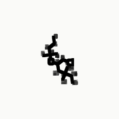 CCCC(C)(C)OC(CCl)CC(C)(C)CC